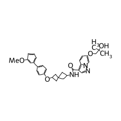 COc1cccc(-c2ccc(OC3CC4(CC(NC(=O)c5cnn6cc(OCC(C)(C)O)ccc56)C4)C3)cc2)c1